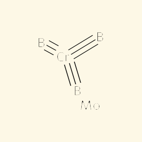 [B]#[Cr](#[B])#[B].[Mo]